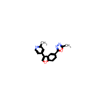 Cc1cc(-c2coc3ccc(-c4nnc(C)o4)cc23)ccn1